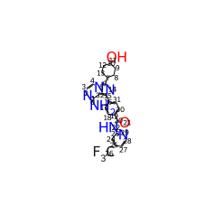 Nc1nccn2c(C3CCC(O)CC3)nc(-c3ccc(C(=O)Nc4cc(C(F)(F)F)ccn4)cc3)c12